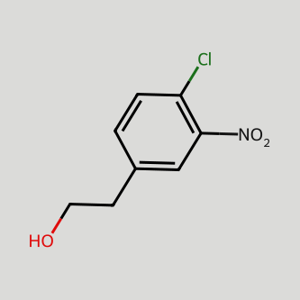 O=[N+]([O-])c1cc(CCO)ccc1Cl